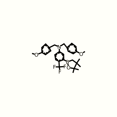 COc1ccc(CN(Cc2ccc(OC)cc2)c2ccc(C(F)(F)F)c(B3CC(C)(C)C(C)(C)O3)c2)cc1